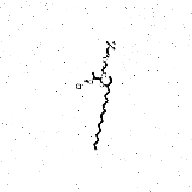 CCCCCCCCCCCCCC(CC)OC(OCCOCC[N+](C)(C)C)C(C)OC.[Cl-]